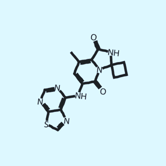 Cc1cc(Nc2ncnc3scnc23)c(=O)n2c1C(=O)NC21CCC1